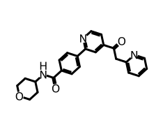 O=C(Cc1ccccn1)c1ccnc(-c2ccc(C(=O)NC3CCOCC3)cc2)c1